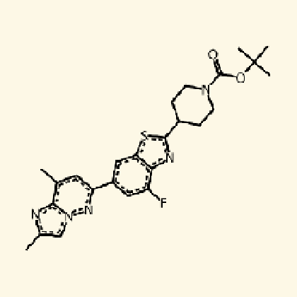 Cc1cn2nc(-c3cc(F)c4nc(C5CCN(C(=O)OC(C)(C)C)CC5)sc4c3)cc(C)c2n1